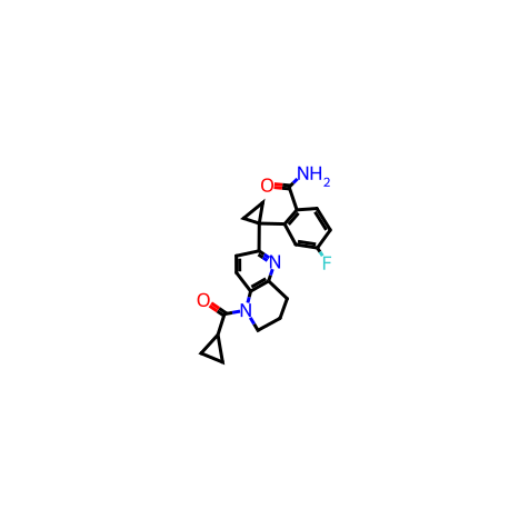 NC(=O)c1ccc(F)cc1C1(c2ccc3c(n2)CCCN3C(=O)C2CC2)CC1